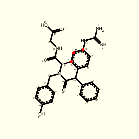 N=C(N)NCCC[C@H](C(=O)NCC(=O)O)N(Cc1ccc(O)cc1)C(=O)C(c1ccccc1)c1ccccc1